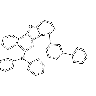 c1ccc(-c2cccc(-c3cccc4oc5c6ccccc6c(N(c6ccccc6)c6ccccc6)cc5c34)c2)cc1